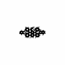 c1ccc2c(c1)C[Si]1(C2)c2ccccc2C(c2c3ccccc3c(C3c4ccccc4[Si]4(Cc5ccccc5C4)c4ccccc43)c3ncccc23)c2ccccc21